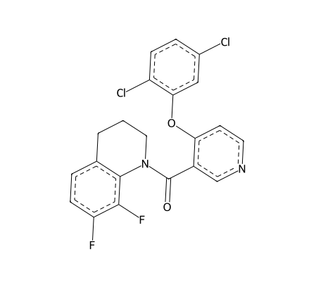 O=C(c1cnccc1Oc1cc(Cl)ccc1Cl)N1CCCc2ccc(F)c(F)c21